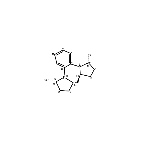 C[C@@H]1CC[C@@H](C)P1c1ccccc1P1CCC[C@@H]1C